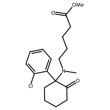 COC(=O)CCCCN(C)C1(c2ccccc2Cl)CCCCC1=O